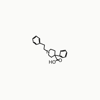 O=C(O)C1(c2ccccc2)CCN(CCc2ccccc2)CC1